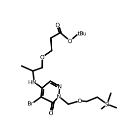 CC(COCCC(=O)OC(C)(C)C)Nc1cnn(COCC[Si](C)(C)C)c(=O)c1Br